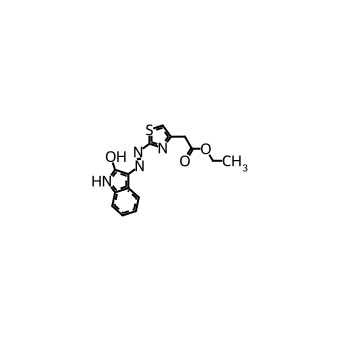 CCOC(=O)Cc1csc(/N=N/c2c(O)[nH]c3ccccc23)n1